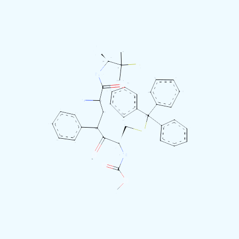 CC(C)(C)OC(=O)N[C@H](CSC(c1ccccc1)(c1ccccc1)c1ccccc1)C(=O)C(CC(N)C(=O)N[C@@H](C(=O)O)C(C)(C)S)c1ccccc1